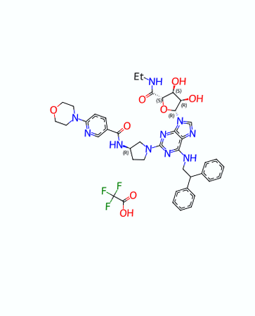 CCNC(=O)[C@H]1O[C@@H](n2cnc3c(NCC(c4ccccc4)c4ccccc4)nc(N4CC[C@@H](NC(=O)c5ccc(N6CCOCC6)nc5)C4)nc32)[C@H](O)[C@@H]1O.O=C(O)C(F)(F)F